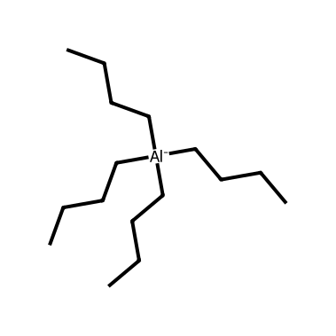 CCC[CH2][Al-]([CH2]CCC)([CH2]CCC)[CH2]CCC